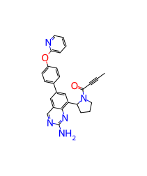 CC#CC(=O)N1CCCC1c1cc(-c2ccc(Oc3ccccn3)cc2)cc2cnc(N)nc12